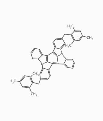 Cc1cc(C)c(Cc2ccc3c4c5c6ccccc6n6c7cc(Cc8c(C)cc(C)cc8C)ccc7c(c7c8ccccc8n(c3c2)c74)c56)c(C)c1